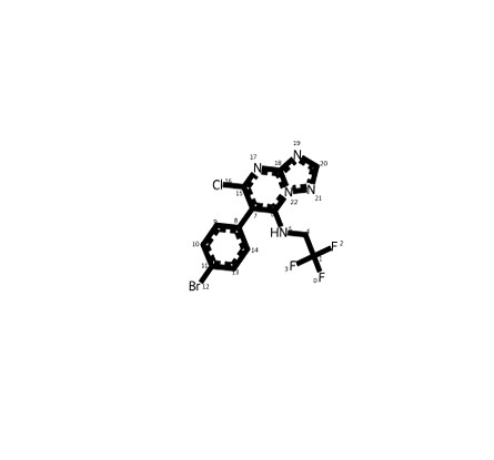 FC(F)(F)CNc1c(-c2ccc(Br)cc2)c(Cl)nc2ncnn12